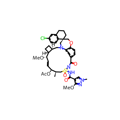 COc1nn(C)cc1C(=O)NS1(=O)=NC(=O)c2ccc3c(c2)N(C[C@@H]2CC[C@H]2[C@@H](OC)/C=C/[C@H](OC(C)=O)[C@H](C)C1)C[C@@]1(CCCc2cc(Cl)ccc21)CO3